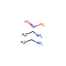 CCN.CCN.P=NP